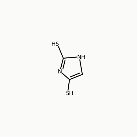 Sc1c[nH]c(S)n1